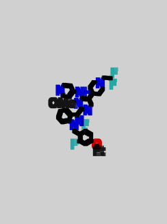 CCOc1cc(F)c(Cn2nc(-c3ncc(C4CCN(CC(F)F)CC4)c(Nc4ccncc4OC)n3)c3ccccc32)c(F)c1